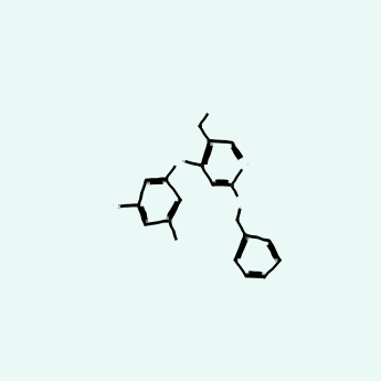 CCc1cnc(OCc2ccccc2)cc1Oc1cc(N)cc(Cl)c1